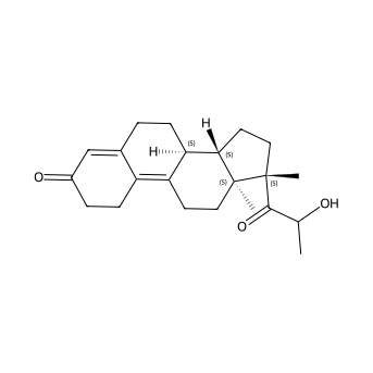 CC(O)C(=O)[C@@]1(C)CC[C@H]2[C@@H]3CCC4=CC(=O)CCC4=C3CC[C@@]21C